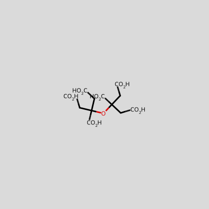 O=C(O)CC(CC(=O)O)(OC(CC(=O)O)(CC(=O)O)C(=O)O)C(=O)O